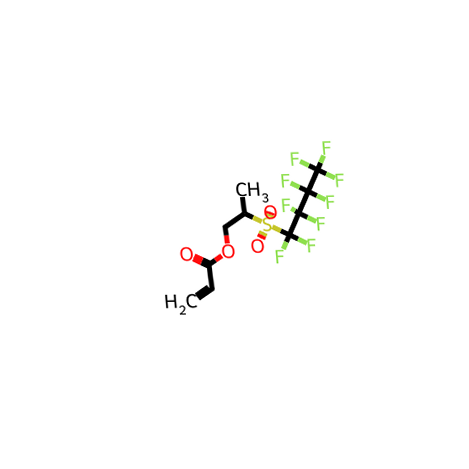 C=CC(=O)OCC(C)S(=O)(=O)C(F)(F)C(F)(F)C(F)(F)C(F)(F)F